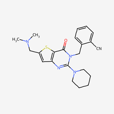 CN(C)Cc1cc2nc(N3CCCCC3)n(Cc3ccccc3C#N)c(=O)c2s1